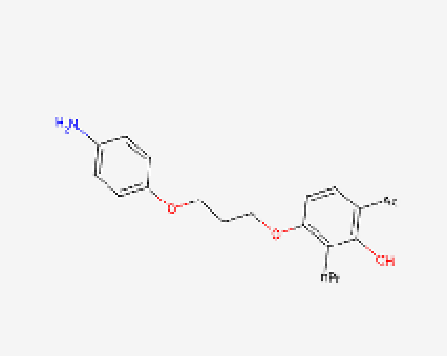 CCCc1c(OCCCOc2ccc(N)cc2)ccc(C(C)=O)c1O